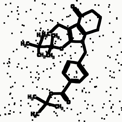 CCc1c2c(n(Cc3ccc(C(=O)OC(C)(C)C)cc3)c1O[Si](C)(C)C(C)(C)C)CCCC2=O